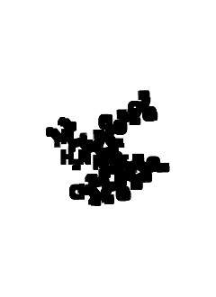 CCN(CC)CCC(N)c1cc(C(=O)OCCOC(C)=O)cc(Br)c1N.COc1ccc2c(c1)cc(C)n2C(=O)c1ccc(Cl)cc1